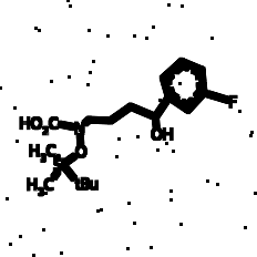 CC(C)(C)[Si](C)(C)ON(CCCC(O)c1cccc(F)c1)C(=O)O